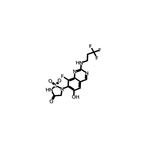 O=C1CN(c2c(O)cc3cnc(NCCC(F)(F)F)nc3c2F)S(=O)(=O)N1